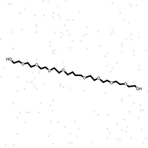 OCCOCCOCCOCCOCCCCOCCOCCOCCOCCO